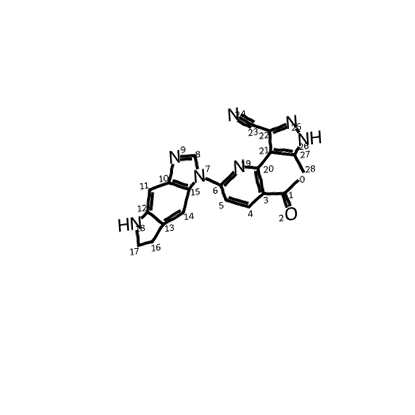 CC(=O)c1ccc(-n2cnc3cc4c(cc32)CCN4)nc1-c1c(C#N)n[nH]c1C